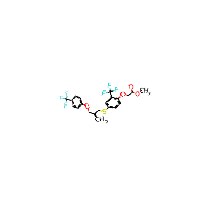 C=C(COc1ccc(C(F)(F)F)cc1)CSc1ccc(OCC(=O)OC)c(C(F)(F)F)c1